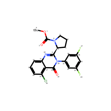 CC(C)(C)OC(=O)N1CCC[C@H]1c1nc2cccc(Cl)c2c(=O)n1-c1cc(F)cc(F)c1